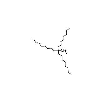 CCCCCCCCCC(N)(CCCCCCCC)CCCCCCCC